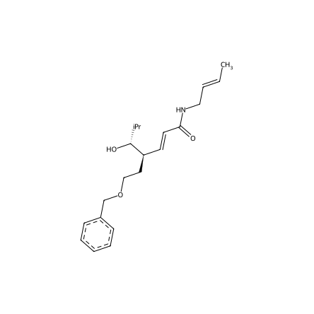 C/C=C/CNC(=O)/C=C/[C@@H](CCOCc1ccccc1)[C@H](O)C(C)C